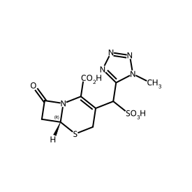 Cn1nnnc1C(C1=C(C(=O)O)N2C(=O)C[C@H]2SC1)S(=O)(=O)O